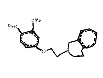 COc1cc(OCCN2CCc3ccccc3C2)ccc1C=O